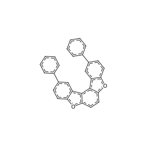 c1ccc(-c2ccc3oc4ccc5oc6ccc(-c7ccccc7)cc6c5c4c3c2)cc1